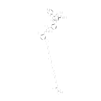 COC(=O)CCCCCOCCOCCOCCCCCCOc1ccc(F)c(CNC(=O)c2cccc(NCC(=N)N(C)C(=N)c3ccncn3)c2)c1